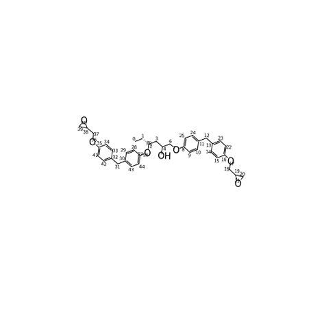 CC[C@H](CC(O)COc1ccc(Cc2ccc(OCC3CO3)cc2)cc1)Oc1ccc(Cc2ccc(OCC3CO3)cc2)cc1